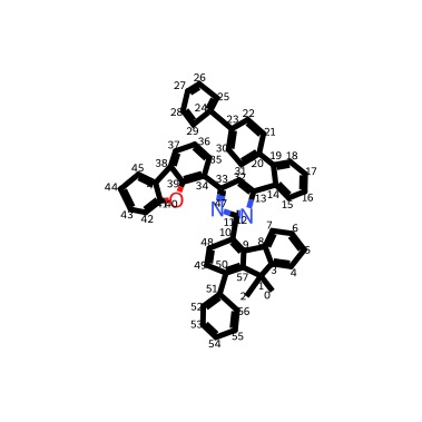 CC1(C)c2ccccc2-c2c(-c3nc(-c4ccccc4-c4ccc(-c5ccccc5)cc4)cc(-c4cccc5c4oc4ccccc45)n3)ccc(-c3ccccc3)c21